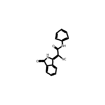 [C-]#[N+]/C(C(=O)Nc1ccccc1)=C1/NC(=O)c2ccccc21